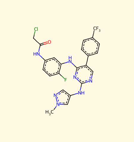 Cn1cc(Nc2ncc(-c3ccc(C(F)(F)F)cc3)c(Nc3cc(NC(=O)CCl)ccc3F)n2)cn1